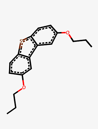 CCCOc1ccc2sc3ccc(OCCC)cc3c2c1